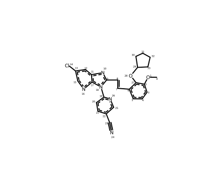 COc1cccc(/C=C/c2nc3cc(Cl)cnc3n2-c2ccc(C#N)cn2)c1OC1CCCC1